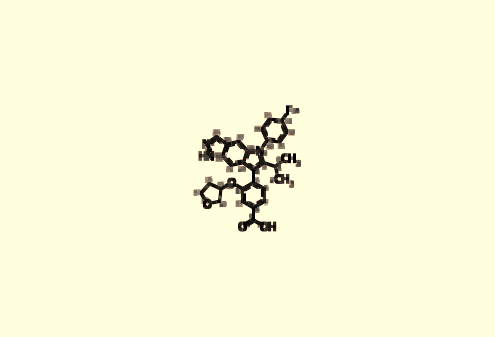 CC(C)c1c(-c2ccc(C(=O)O)cc2OC2CCOC2)c2cc3[nH]ncc3cc2n1-c1ccc(F)cc1